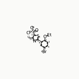 CCOc1ccc(Br)cc1-c1nc(C)c(S(=O)(=O)Cl)s1